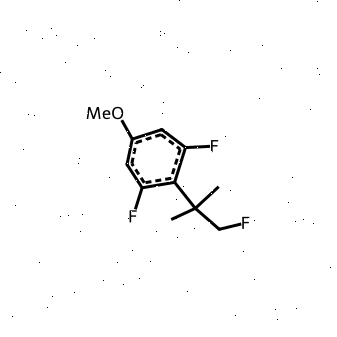 COc1cc(F)c(C(C)(C)CF)c(F)c1